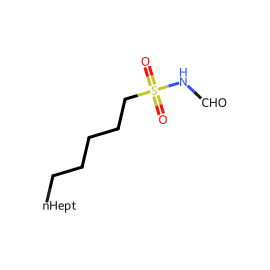 CCCCCCCCCCCCS(=O)(=O)NC=O